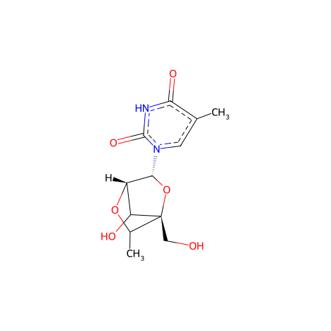 Cc1cn([C@@H]2O[C@]3(CO)C(C)O[C@H]2C3O)c(=O)[nH]c1=O